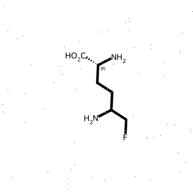 NC(CF)CC[C@@H](N)C(=O)O